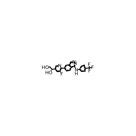 OC[C@H](O)c1cnc(-c2ccc3c(Nc4ccc(C(F)(F)F)cc4)nncc3c2)c(F)c1